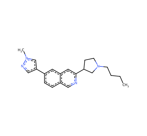 CCCCN1CCC(c2cc3cc(-c4cnn(C)c4)ccc3cn2)C1